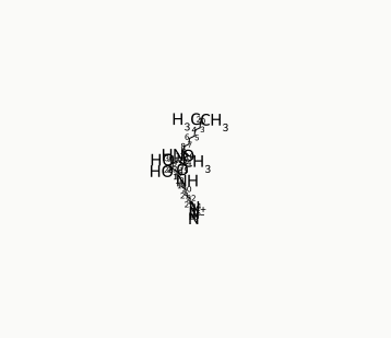 CC(C)CCCCCCC(=O)NC1[C@H](C)OC(CNCCCCCN=[N+]=[N-])[C@@H](O)[C@@H]1O